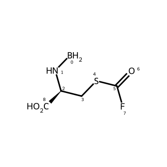 BN[C@@H](CSC(=O)F)C(=O)O